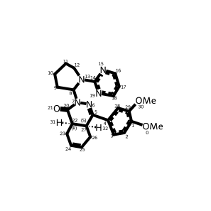 COc1ccc(C2=NN(C3CCCCN3c3ncccn3)C(=O)[C@@H]3CC=CC[C@H]23)cc1OC